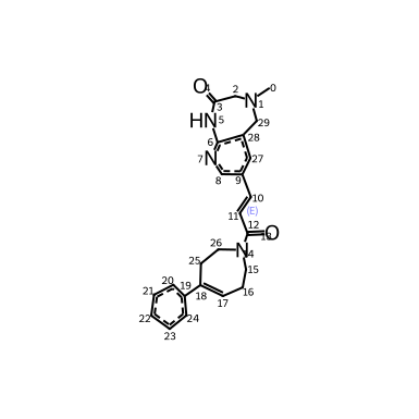 CN1CC(=O)Nc2ncc(/C=C/C(=O)N3CCC=C(c4ccccc4)CC3)cc2C1